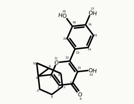 O=c1cc(C23CCCC4C2C43)oc(-c2ccc(O)c(O)c2)c1O